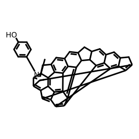 CC1N(c2ccc(O)cc2)CC2C3=c4c5c6c7c(cc8c9c%10c%11c%12c%13c%14c(cc%15c%16c(c4c(c5c%11c79)c%12c%14%16)=C(C3)C%15)=CC3CC(=C8)C%10C%133)CC621